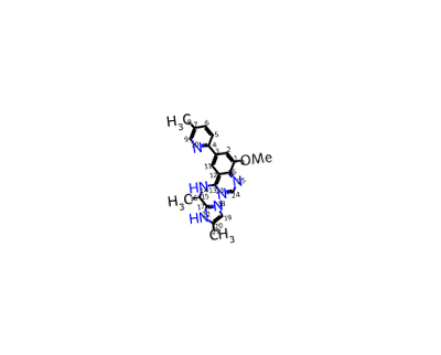 COc1cc(-c2ccc(C)cn2)cc2c(N[C@H](C)c3ncc(C)[nH]3)ncnc12